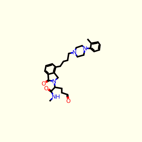 CNC(=O)C(CCC=O)N1Cc2c(CCCCN3CCN(c4ccccc4C)CC3)cccc2C1=O